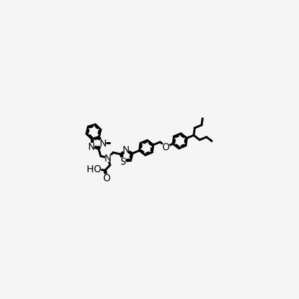 CCCC(CCC)c1ccc(OCc2ccc(-c3csc(CN(CC(=O)O)Cc4nc5ccccc5n4C)n3)cc2)cc1